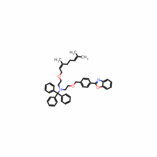 CC(C)=CCCC(C)=CCOCCN(CCOCc1ccc(-c2nc3ccccc3o2)cc1)C(c1ccccc1)(c1ccccc1)c1ccccc1